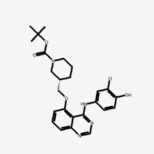 CC(C)(C)OC(=O)N1CCC[C@H](COc2cccc3ncnc(Nc4ccc(O)c(Cl)c4)c23)C1